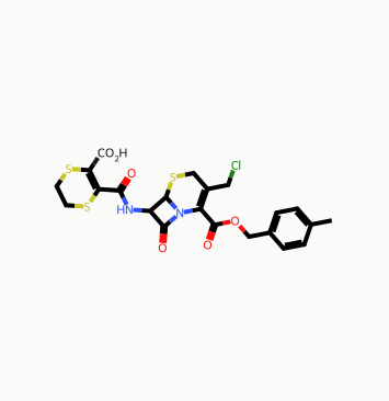 Cc1ccc(COC(=O)C2=C(CCl)CSC3C(NC(=O)C4=C(C(=O)O)SCCS4)C(=O)N23)cc1